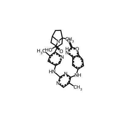 Cc1cnc(Nc2cnc(C3CC4CCC(C)(C3)N4C(=O)O)c(C)c2)nc1Nc1ccc2oc(=O)[nH]c2c1